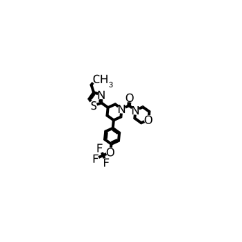 CCc1csc(C2CC(c3ccc(OC(F)(F)F)cc3)CN(C(=O)N3CCOCC3)C2)n1